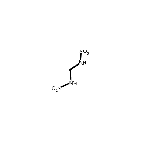 O=[N+]([O-])NCN[N+](=O)[O-]